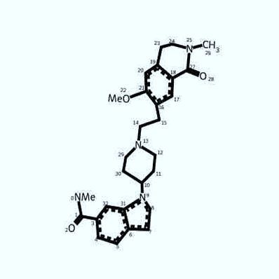 CNC(=O)c1ccc2ccn(C3CCN(CCc4cc5c(cc4OC)CCN(C)C5=O)CC3)c2c1